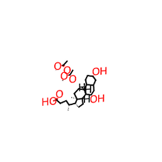 COC(C)=O.COC(C)=O.C[C@H](CCC(=O)O)[C@H]1CC[C@H]2[C@@H]3[C@H](O)CC4C[C@H](O)CC[C@]4(C)[C@H]3CC[C@]12C